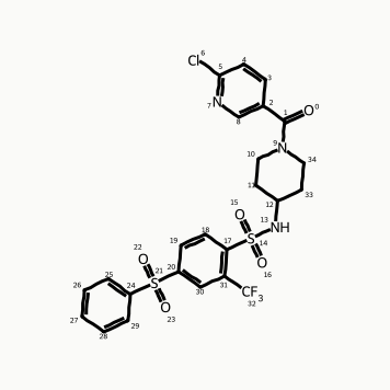 O=C(c1ccc(Cl)nc1)N1CCC(NS(=O)(=O)c2ccc(S(=O)(=O)c3ccccc3)cc2C(F)(F)F)CC1